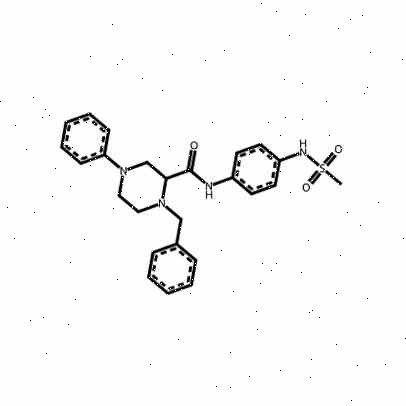 CS(=O)(=O)Nc1ccc(NC(=O)C2CN(c3ccccc3)CCN2Cc2ccccc2)cc1